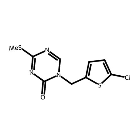 CSc1ncn(Cc2ccc(Cl)s2)c(=O)n1